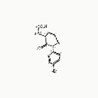 O=C(O)NC1CCCN(c2ccc(Br)cn2)C1=O